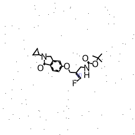 CC(C)(C)OC(=O)NC/C(=C/F)COc1ccc2c(c1)CN(C1CC1)C2=O